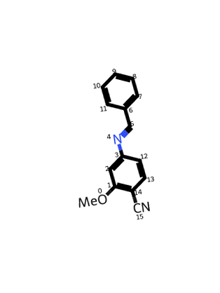 COc1cc(/N=C/c2ccccc2)ccc1C#N